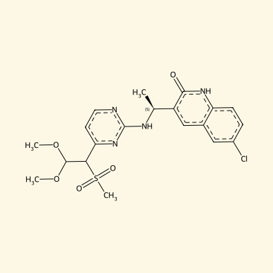 COC(OC)C(c1ccnc(N[C@@H](C)c2cc3cc(Cl)ccc3[nH]c2=O)n1)S(C)(=O)=O